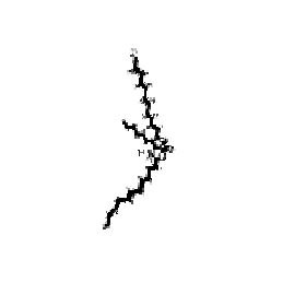 CCCCCCCCCCCCOP(=O)(OCCCCCCCCCCCC)C(N)CCCCCCC